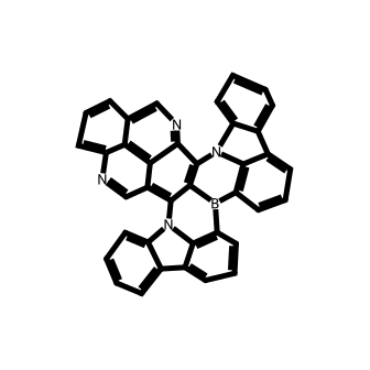 c1cc2cnc3c4c5c(c6cnc(c1)c2c63)-n1c2ccccc2c2cccc(c21)B5c1cccc2c3ccccc3n-4c12